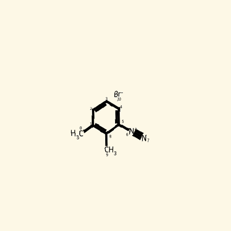 Cc1cccc([N+]#N)c1C.[Br-]